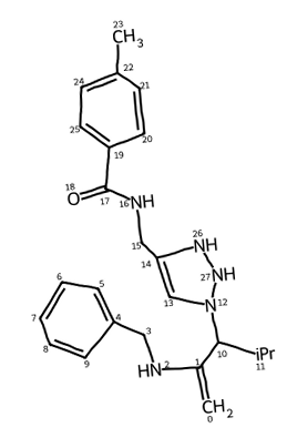 C=C(NCc1ccccc1)C(C(C)C)N1C=C(CNC(=O)c2ccc(C)cc2)NN1